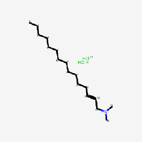 CCCCCCCCCCCCC=CCN(C)C.Cl.Cl